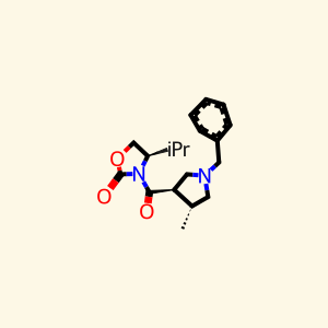 CC(C)[C@@H]1COC(=O)N1C(=O)[C@H]1CN(Cc2ccccc2)C[C@@H]1C